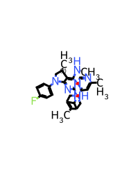 CNc1nc(NC2C3=C(C)C2CN(c2cc(C)ncn2)C3)nc2c1[C@@H](C)CN2c1ccc(F)cc1